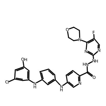 O=C(NNc1ncc(F)c(N2CCOCC2)n1)c1ccc(Nc2cccc(Nc3cc(O)cc(Cl)c3)c2)cn1